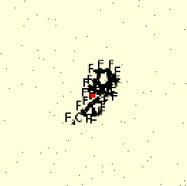 FN(F)C(F)(C(F)(F)OC1(F)C2(F)C(F)(F)C3(F)C(F)(F)C(F)(C2(F)F)C(F)(F)C1(F)C3(F)F)C(F)(F)C(F)(F)F